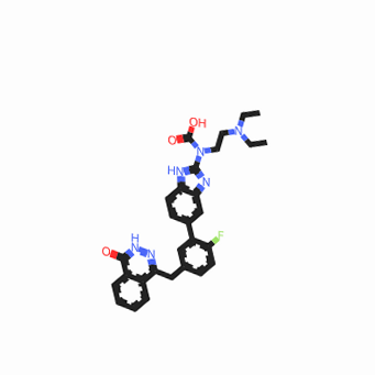 CCN(CC)CCN(C(=O)O)c1nc2cc(-c3cc(Cc4n[nH]c(=O)c5ccccc45)ccc3F)ccc2[nH]1